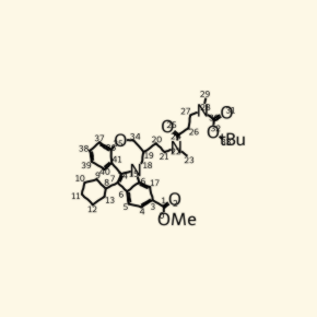 COC(=O)c1ccc2c(C3CCCCC3)c3n(c2c1)CC(CCN(C)C(=O)CCN(C)C(=O)OC(C)(C)C)COc1ccccc1-3